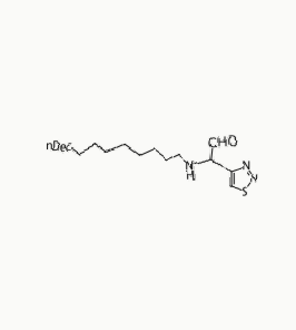 CCCCCCCCCCCCCCCCCCNC(C=O)c1csnn1